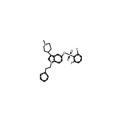 CN1CCC(c2cn(CCc3ccccc3)c3ccc(OS(=O)(=O)c4c(F)cccc4F)cc23)CC1